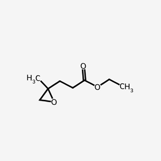 CCOC(=O)CCC1(C)CO1